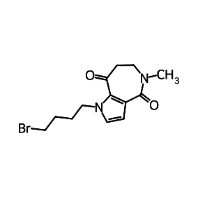 CN1CCC(=O)c2c(ccn2CCCCBr)C1=O